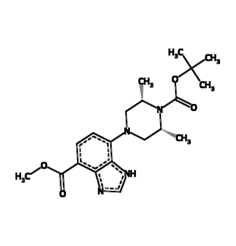 COC(=O)c1ccc(N2C[C@@H](C)N(C(=O)OC(C)(C)C)[C@@H](C)C2)c2[nH]cnc12